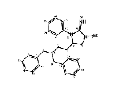 CCN1CC(CCN(Cc2ccccc2)Cc2ccccc2)N(c2ccccc2)C1=N